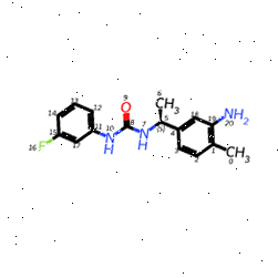 Cc1ccc([C@H](C)NC(=O)Nc2cccc(F)c2)cc1N